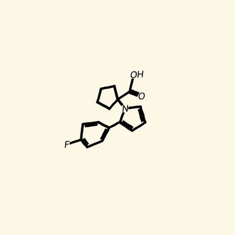 O=C(O)C1(n2cccc2-c2ccc(F)cc2)CCCC1